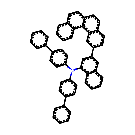 c1ccc(-c2ccc(N(c3ccc(-c4ccccc4)cc3)c3cc(-c4ccc5ccc6ccc7ccccc7c6c5c4)cc4ccccc34)cc2)cc1